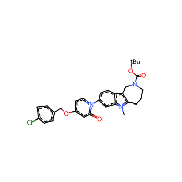 Cn1c2c(c3ccc(-n4ccc(OCc5ccc(Cl)cc5)cc4=O)cc31)CN(C(=O)OC(C)(C)C)CCC2